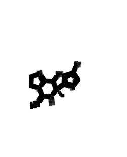 C[C@]1(c2cc(Br)cs2)NC(=N)N2CCN=C2C1Br